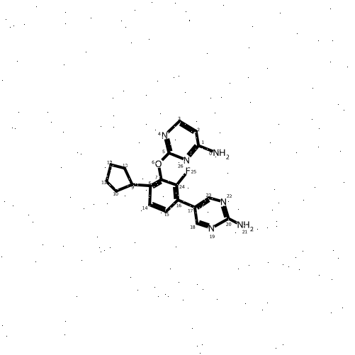 Nc1ccnc(Oc2c(C3CCCC3)ccc(-c3cnc(N)nc3)c2F)n1